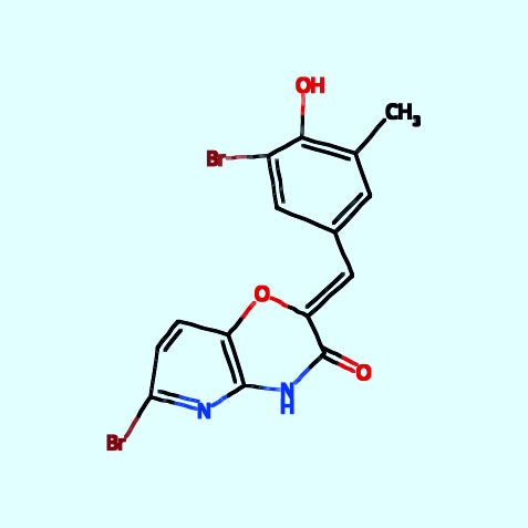 Cc1cc(/C=C2\Oc3ccc(Br)nc3NC2=O)cc(Br)c1O